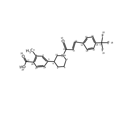 Cc1cc(C2CCCN(C(=O)C=Cc3ccc(C(F)(F)F)cc3)C2)ccc1C(=O)O